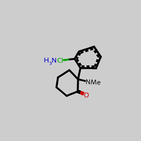 CNC1(c2ccccc2Cl)CCCCC1=O.N